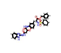 O=C(CC1Oc2ccc(C[C@H](NS(=O)(=O)C3CCCCC3)C(=O)OCc3ccccc3)cc2NC1=O)Nc1nc2ccccc2[nH]1